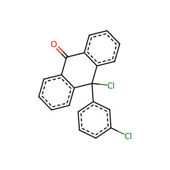 O=C1c2ccccc2C(Cl)(c2cccc(Cl)c2)c2ccccc21